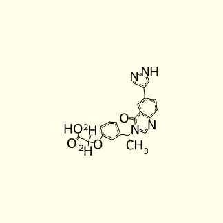 [2H]C([2H])(Oc1cccc([C@@H](C)n2cnc3ccc(-c4cn[nH]c4)cc3c2=O)c1)C(=O)O